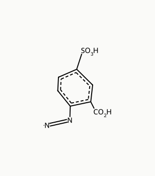 [N]=Nc1ccc(S(=O)(=O)O)cc1C(=O)O